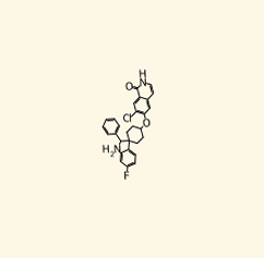 NC(c1ccccc1)C1(c2ccc(F)cc2)CCC(Oc2cc3cc[nH]c(=O)c3cc2Cl)CC1